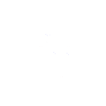 CC(F)(F)CNC(=O)Cn1ccc(COS(C)(=O)=O)c1[N+](=O)[O-]